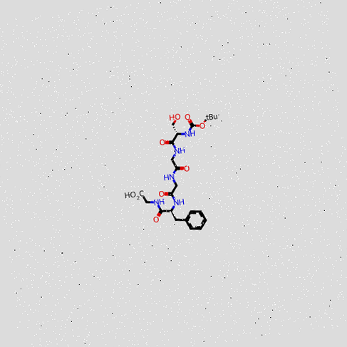 CC(C)(C)OC(=O)N[C@@H](CO)C(=O)NCC(=O)NCC(=O)N[C@@H](Cc1ccccc1)C(=O)NCC(=O)O